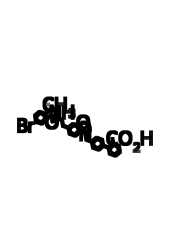 C[C@H](NC(=O)CCc1ccc2c(c1)OCCN2Cc1ccc(-c2ccccc2C(=O)O)cc1)c1ccc(Br)cc1